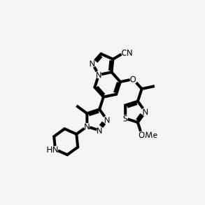 COc1nc(C(C)Oc2cc(-c3nnn(C4CCNCC4)c3C)cn3ncc(C#N)c23)cs1